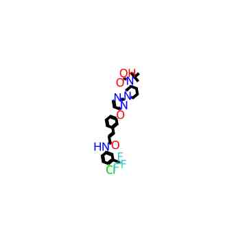 CC(C)(C)N(C(=O)O)C1CCCN(c2nccc(Oc3cccc(C=CC(=O)Nc4ccc(Cl)c(C(F)(F)F)c4)c3)n2)C1